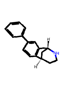 c1ccc(-c2ccc3c(c2)[C@H]2C[C@H]3CCN2)cc1